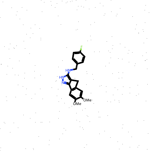 COc1cc2c(cc1OC)-c1n[nH]c(NCc3ccc(F)cc3)c1C2